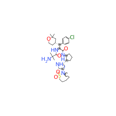 CC1(C)CC([C@H](c2ccc(Cl)cc2)[C@H](NC(=O)C(C)(C)N)C(=O)N[C@H]2CCC[C@@H]2CC[C@@H](CN)N2CCCCCS2(=O)=O)CCO1